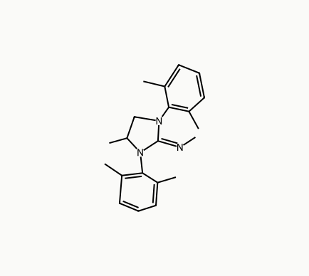 CN=C1N(c2c(C)cccc2C)CC(C)N1c1c(C)cccc1C